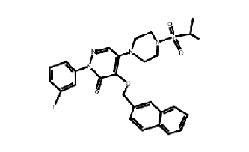 CC(C)S(=O)(=O)N1CCN(c2cnn(-c3cccc(F)c3)c(=O)c2OCc2ccc3ccccc3c2)CC1